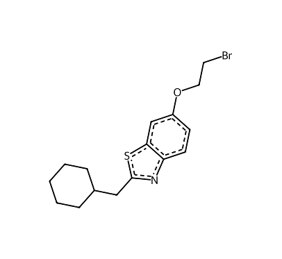 BrCCOc1ccc2nc(CC3CCCCC3)sc2c1